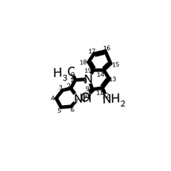 CC(C1CCCCN1)n1c(=O)c(N)cc2ccccc21